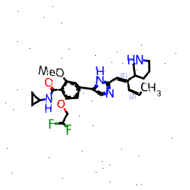 C/C=C\C(=C/c1ncc(-c2cc(OC)c(C(=O)NC3CC3)c(OCC(F)F)c2)[nH]1)C1CCCNC1